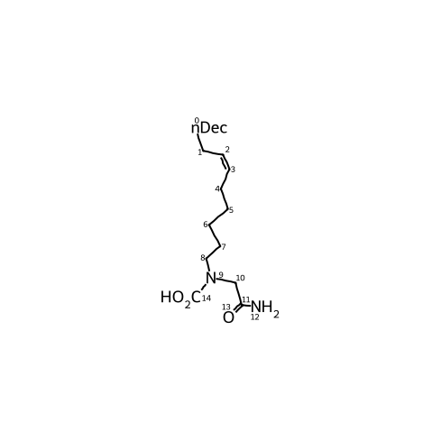 CCCCCCCCCCC/C=C\CCCCCN(CC(N)=O)C(=O)O